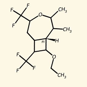 CCOC1C(C(F)(F)F)C2CC(C(F)(F)F)OC(C)C(C)[C@@H]21